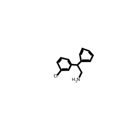 NCC(c1ccccc1)c1cccc(Cl)c1